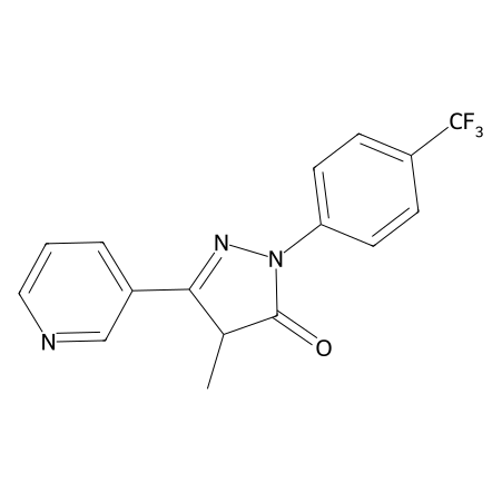 CC1C(=O)N(c2ccc(C(F)(F)F)cc2)N=C1c1cccnc1